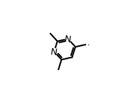 [CH2]c1cc(C)nc(C)n1